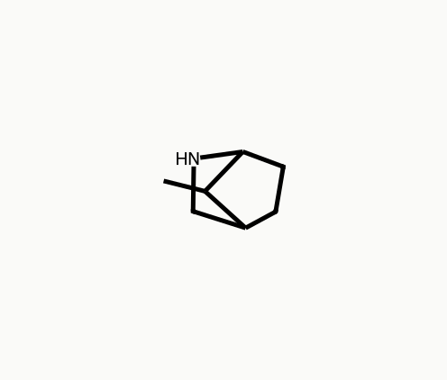 CC1C2CCC1NC2